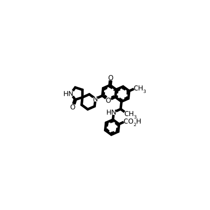 Cc1cc(C(C)Nc2ccccc2C(=O)O)c2oc(N3CCCC4(CCNC4=O)C3)cc(=O)c2c1